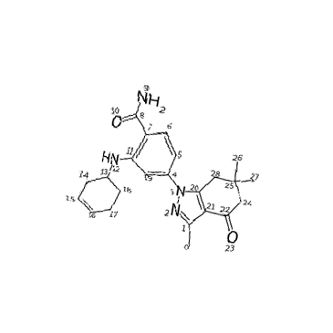 Cc1nn(-c2ccc(C(N)=O)c(NC3CC=CCC3)c2)c2c1C(=O)CC(C)(C)C2